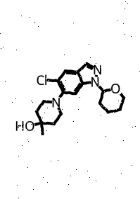 CC1(O)CCN(c2cc3c(cnn3C3CCCCO3)cc2Cl)CC1